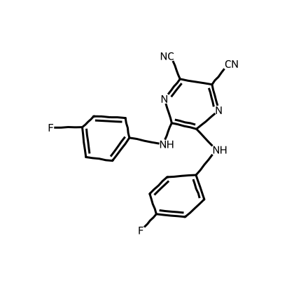 N#Cc1nc(Nc2ccc(F)cc2)c(Nc2ccc(F)cc2)nc1C#N